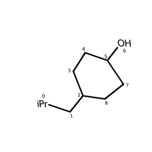 CC(C)CC1CCC(O)CC1